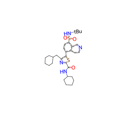 CC(C)(C)NS(=O)(=O)c1ccc(-c2sc(C(=O)NC3CCCCC3)nc2CC2CCCCC2)c2ccncc12